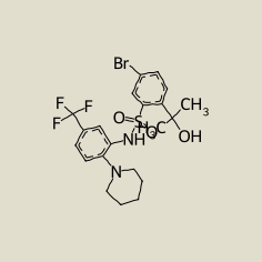 CC(C)(O)c1ccc(Br)cc1S(=O)(=O)Nc1cc(C(F)(F)F)ccc1N1CCCCC1